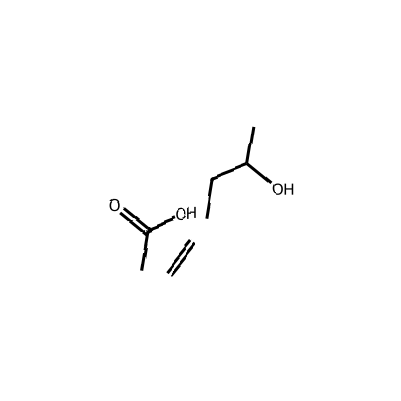 C=C.CC(=O)O.CCC(C)O